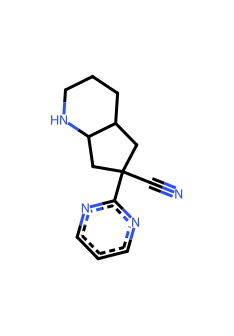 N#CC1(c2ncccn2)CC2CCCNC2C1